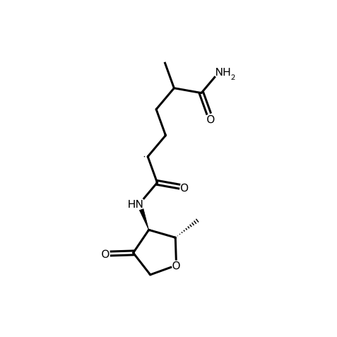 CC(CC[CH]C(=O)N[C@@H]1C(=O)CO[C@H]1C)C(N)=O